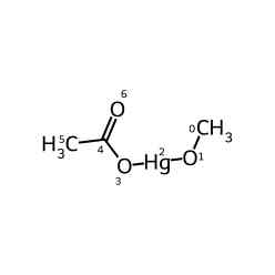 C[O][Hg][O]C(C)=O